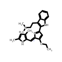 CCOC1=CC(c2[nH]c3ccccc3c2CCN(C)C)=N/C1=C\c1[nH]c(C)cc1C